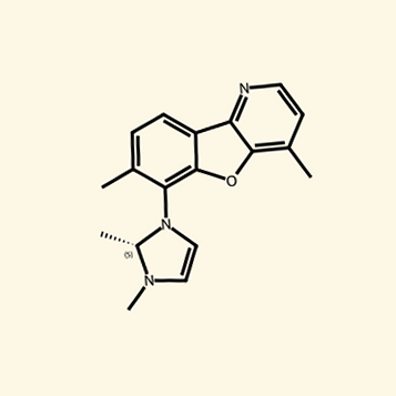 Cc1ccc2c(oc3c(C)ccnc32)c1N1C=CN(C)[C@@H]1C